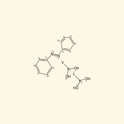 OB(O)F.OB(O)F.c1ccc(N=Nc2ccccc2)cc1